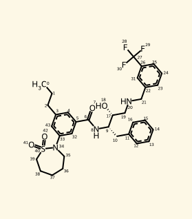 CCCc1cc(C(=O)N[C@@H](Cc2ccccc2)[C@H](O)CNCc2cccc(C(F)(F)F)c2)cc(N2CCCCCS2(=O)=O)c1